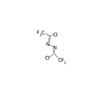 FC(F)(F)C(Cl)=NN=C(Cl)C(F)(F)F